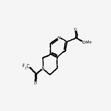 COC(=O)c1cc2c(cn1)CN(C(=O)C(F)(F)F)CC2